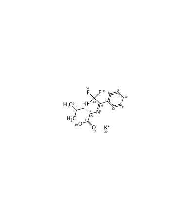 CC(C)C[C@H](N=C(c1ccccc1)C(F)(F)F)C(=O)[O-].[K+]